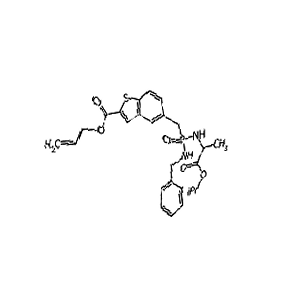 C=CCOC(=O)c1cc2cc(CP(=O)(NCc3ccccc3)NC(C)C(=O)OC(C)C)ccc2s1